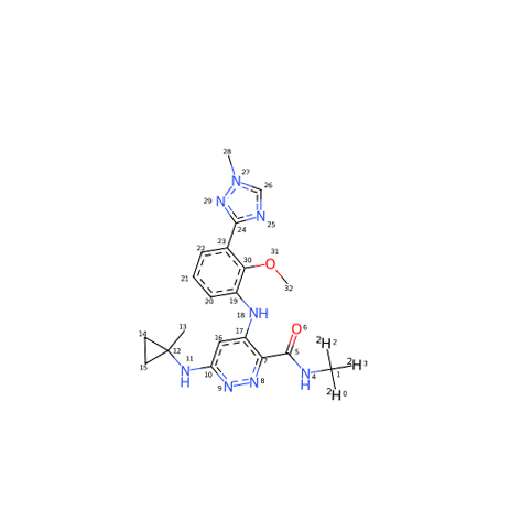 [2H]C([2H])([2H])NC(=O)c1nnc(NC2(C)CC2)cc1Nc1cccc(-c2ncn(C)n2)c1OC